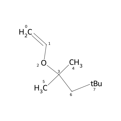 C=COC(C)(C)CC(C)(C)C